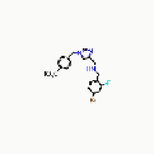 O=C(O)c1ccc(Cn2cnc(CNCc3ccc(Br)cc3F)c2)cc1